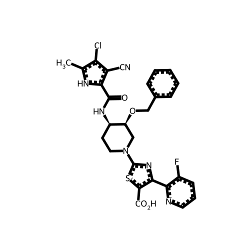 Cc1[nH]c(C(=O)N[C@@H]2CCN(c3nc(-c4ncccc4F)c(C(=O)O)s3)C[C@@H]2OCc2ccccc2)c(C#N)c1Cl